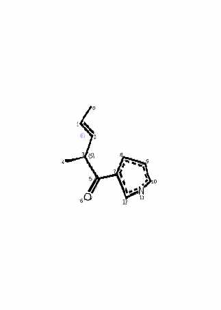 C/C=C/[C@H](C)C(=O)c1cccnc1